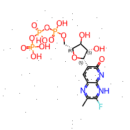 Cc1nc2cc([C@@H]3O[C@H](COP(=O)(O)OP(=O)(O)OP(=O)(O)O)C(O)[C@@H]3O)c(=O)nc-2[nH]c1F